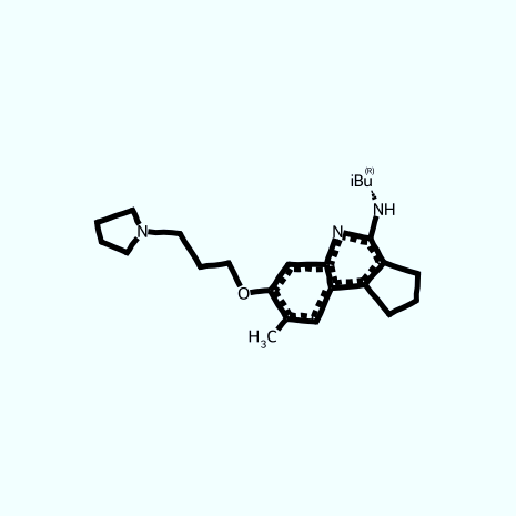 CC[C@@H](C)Nc1nc2cc(OCCCN3CCCC3)c(C)cc2c2c1CCC2